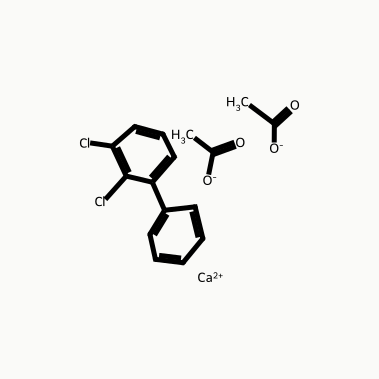 CC(=O)[O-].CC(=O)[O-].Clc1cccc(-c2ccccc2)c1Cl.[Ca+2]